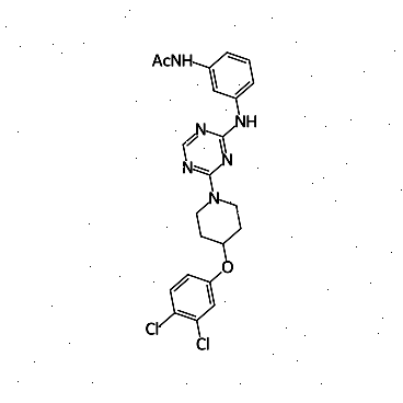 CC(=O)Nc1cccc(Nc2ncnc(N3CCC(Oc4ccc(Cl)c(Cl)c4)CC3)n2)c1